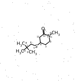 CN1CCC(SCC(C)(C)C)CC1=O